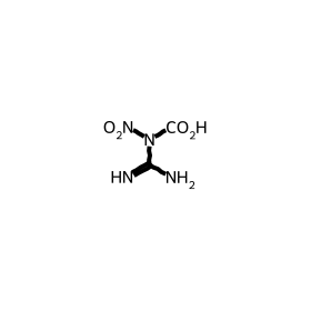 N=C(N)N(C(=O)O)[N+](=O)[O-]